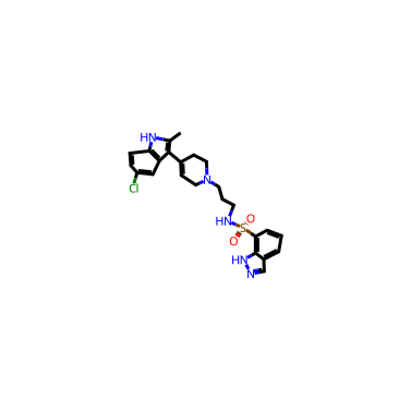 Cc1[nH]c2ccc(Cl)cc2c1C1=CCN(CCCNS(=O)(=O)c2cccc3cn[nH]c23)CC1